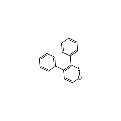 C1=CC(c2ccccc2)=C(c2ccccc2)SO1